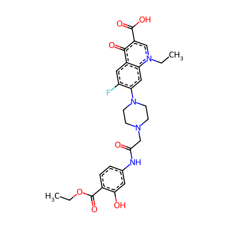 CCOC(=O)c1ccc(NC(=O)CN2CCN(c3cc4c(cc3F)c(=O)c(C(=O)O)cn4CC)CC2)cc1O